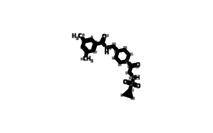 Cc1cc(C)cc(C(=O)NCC2CCN(C(=O)CNS(=O)(=O)C3CC3)CC2)c1